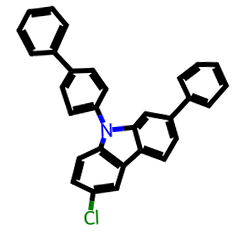 Clc1ccc2c(c1)c1ccc(-c3ccccc3)cc1n2-c1ccc(-c2ccccc2)cc1